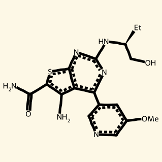 CC[C@@H](CO)Nc1nc(-c2cncc(OC)c2)c2c(N)c(C(N)=O)sc2n1